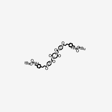 CC(C)(C)OC(=O)NCc1ccc(CCC(=O)N2CCN(C(=O)CN3CCC(=O)N(CC(=O)N4CCN(C(=O)CCc5ccc(CNC(=O)OC(C)(C)C)cc5)CC4)CCC3=O)CC2)cc1